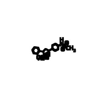 COc1ccccc1C1CC(c2ccc(NS(C)(=O)=O)cc2)=NN1C(C)=O